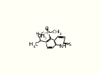 CC(C)c1ccc2[nH]c(=S)ccc2c1P(C)(C)=O